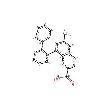 Cc1cc(-c2ccccc2-c2ccccc2)c2cc(C(=O)O)ccc2n1